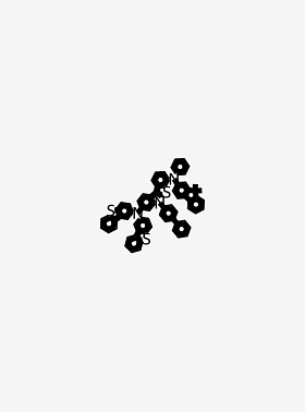 CC1(C)c2ccccc2-c2ccc(N(c3ccccc3)c3cccc4c3sc3c4c4ccc(N(c5ccc6sc7ccccc7c6c5)c5ccc6sc7ccccc7c6c5)cc4n3-c3ccc(-c4ccccc4)cc3)cc21